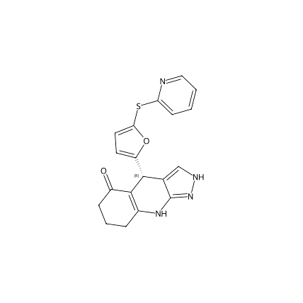 O=C1CCCC2=C1[C@H](c1ccc(Sc3ccccn3)o1)c1c[nH]nc1N2